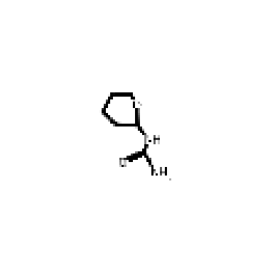 NC(=O)NC1CCCCO1